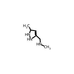 CNCC1=CC(C)NN1